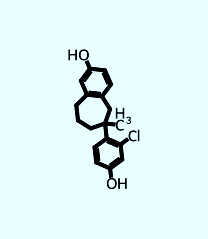 CC1(c2ccc(O)cc2Cl)CCCc2cc(O)ccc2C1